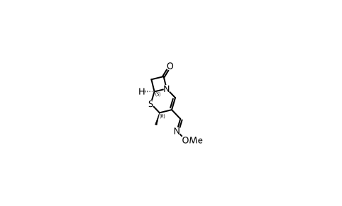 CON=CC1=CN2C(=O)C[C@@H]2S[C@@H]1C